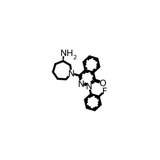 N[C@@H]1CCCCN(c2nn(-c3ccccc3F)c(=O)c3ccccc23)C1